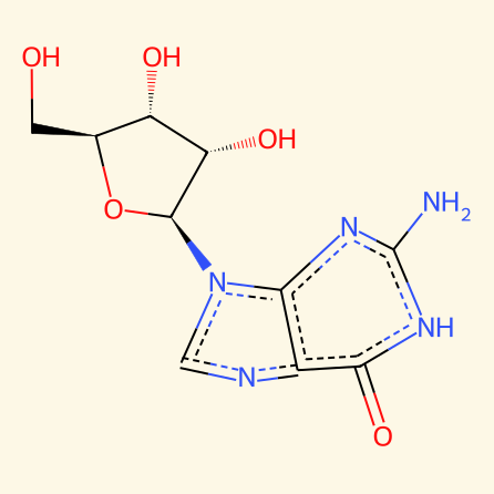 Nc1nc2c(ncn2[C@H]2O[C@@H](CO)[C@H](O)[C@@H]2O)c(=O)[nH]1